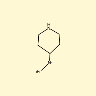 CC(C)[N]C1CCNCC1